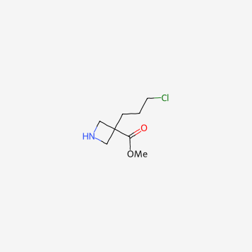 COC(=O)C1(CCCCl)CNC1